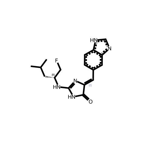 CC(C)C[C@H](CF)NC1=N/C(=C\c2ccc3[nH]cnc3c2)C(=O)N1